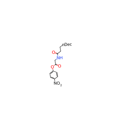 CCCCCCCCCCCCC(=O)NCC(=O)Oc1ccc([N+](=O)[O-])cc1